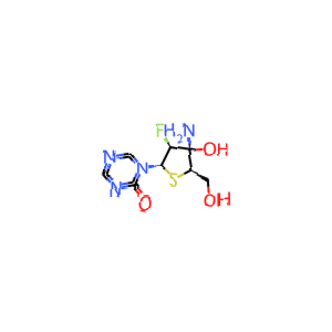 N[C@]1(O)[C@H](F)[C@H](n2cncnc2=O)S[C@@H]1CO